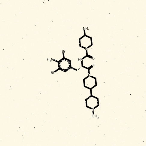 CN1CCC(C2CCN(C(=O)[C@H](Cc3cc(Br)c(N)c(Br)c3)NC(=O)N3CCC(N)CC3)CC2)CC1